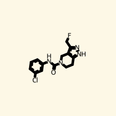 O=C(Nc1cccc(Cl)c1)N1CCc2[nH]nc(CF)c2C1